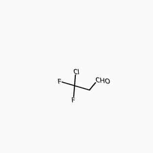 O=CCC(F)(F)Cl